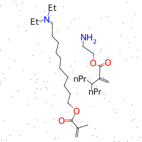 C=C(C(=O)OCCN)C(CCC)CCC.C=C(C)C(=O)OCCCCCCCCCCN(CC)CC